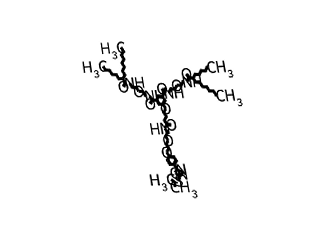 CCCCCCCCC(CCCCCC)C(=O)NCCOCCNC(=O)c1cc(OCCCC(=O)NCCOCCOc2ccc(-c3nnc(SC(C)C)o3)cc2)cc(C(=O)NCCOCCNC(=O)C(CCCCCC)CCCCCCCC)c1